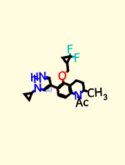 CC(=O)N1c2ccc(/C(C=N)=C/NC3CC3)c(OCC3CC3(F)F)c2CCC1C